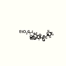 CCOC(=O)CC/C(=C/c1ccc(C(=O)OCc2ccccc2)o1)C(=O)OC(C)(C)C